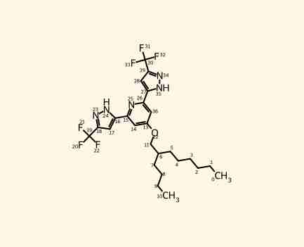 CCCCCCC(CCCC)COc1cc(-c2cc(C(F)(F)F)n[nH]2)nc(-c2cc(C(F)(F)F)n[nH]2)c1